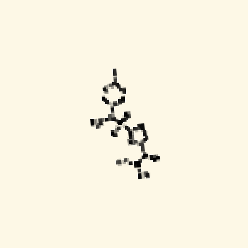 CCCN(C)C(=O)n1cnc(S(=O)(=O)N(C)c2ccc(F)cc2)n1